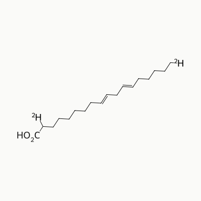 [2H]CCCCCC=CCC=CCCCCCCC([2H])C(=O)O